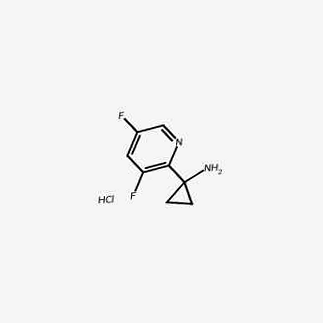 Cl.NC1(c2ncc(F)cc2F)CC1